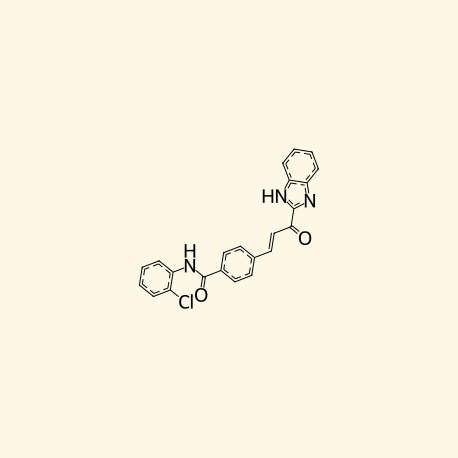 O=C(Nc1ccccc1Cl)c1ccc(C=CC(=O)c2nc3ccccc3[nH]2)cc1